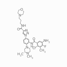 Cc1c(F)c(N)cc(C(=O)Nc2cc(-n3cc(C(=O)NCCCN4CCOCC4)nn3)ccc2N2CCN(C)[C@H](C)C2)c1Cl